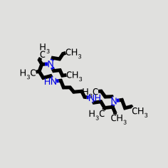 CCCCN(CCCC)C(CC)C(C)CCNCCCCCCNCCC(C)C(CC)N(CCCC)CCCC